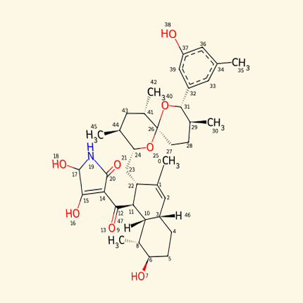 CC1=C[C@@H]2CC[C@@H](O)[C@H](C)[C@@H]2[C@@H](C(=O)C2=C(O)C(O)NC2=O)[C@@H]1C[C@H]1O[C@@]2(CC[C@H](C)[C@@H](c3cc(C)cc(O)c3)O2)[C@@H](C)C[C@@H]1C